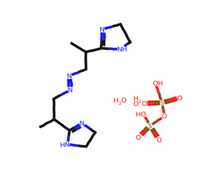 CC(CN=NCC(C)C1=NCCN1)C1=NCCN1.O.O.O=S(=O)(O)OS(=O)(=O)O